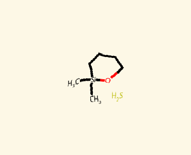 C[Si]1(C)CCCCO1.S